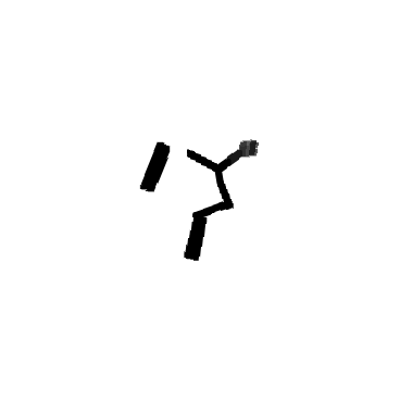 C=C.C=CCC(C)CC